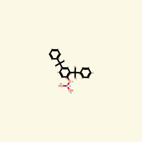 CC(C)(c1ccccc1)c1ccc(OP(O)O)c(C(C)(C)c2ccccc2)c1